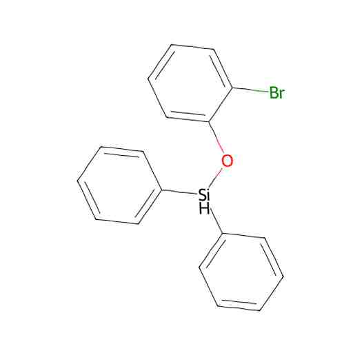 Brc1ccccc1O[SiH](c1ccccc1)c1ccccc1